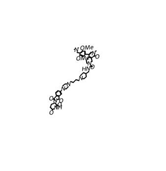 COc1cc(-c2cn(C)c(=O)c3c2CCN(C(=O)NCC2CCN(CCCCN4CCN(c5ccc6c(c5)C(=O)N(C5CCC(=O)NC5=O)C6=O)CC4)CC2)C3)cc(OC)c1CN(C)C